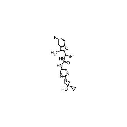 Cc1c(C(NC(=O)Nc2cnc(N3CC(O)(C4CC4)C3)nc2)C(C)C)oc2ccc(F)cc12